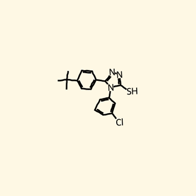 CC(C)(C)c1ccc(-c2nnc(S)n2-c2cccc(Cl)c2)cc1